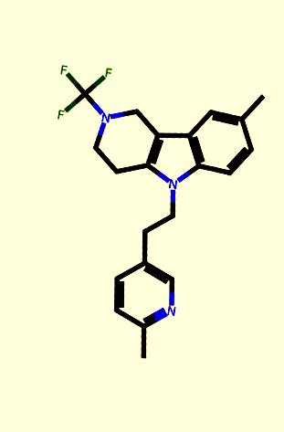 Cc1ccc2c(c1)c1c(n2CCc2ccc(C)nc2)CCN(C(F)(F)F)C1